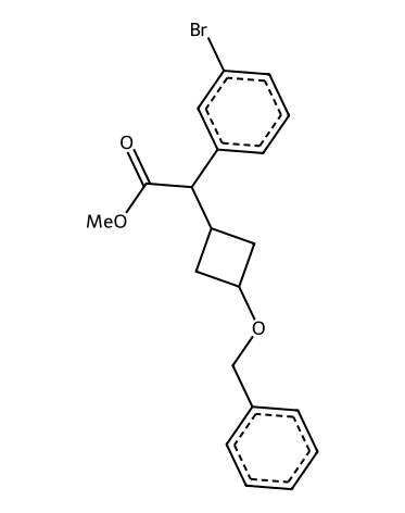 COC(=O)C(c1cccc(Br)c1)C1CC(OCc2ccccc2)C1